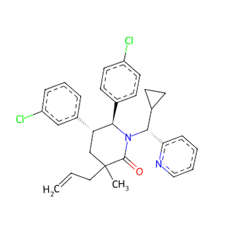 C=CCC1(C)C[C@H](c2cccc(Cl)c2)[C@@H](c2ccc(Cl)cc2)N([C@@H](c2ccccn2)C2CC2)C1=O